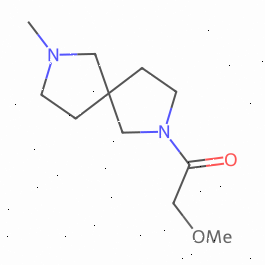 COCC(=O)N1CCC2(CCN(C)C2)C1